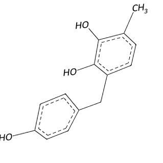 Cc1ccc(Cc2ccc(O)cc2)c(O)c1O